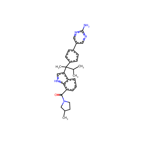 CC1CCN(C(=O)c2cccc3c(C(C)(c4ccc(-c5cnc(N)nc5)cc4)C(C)C)c[nH]c23)C1